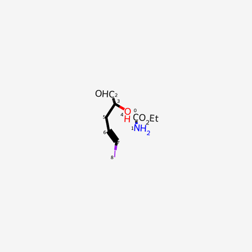 CCOC(N)=O.O=CC(O)CC#CI